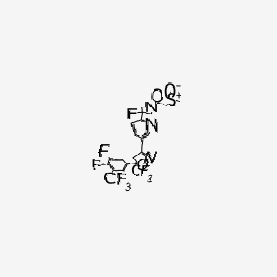 C[S+]([O-])CC(=O)N1CC(F)(c2ccc(C3=NOC(c4cc(F)c(F)c(C(F)(F)F)c4)(C(F)(F)F)C3)cn2)C1